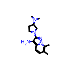 Cc1ccc2c(N)c(N3CCC(N(C)C)C3)nn2c1C